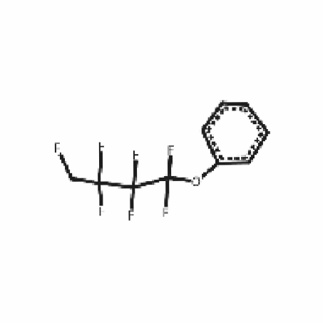 FCC(F)(F)C(F)(F)C(F)(F)Oc1ccccc1